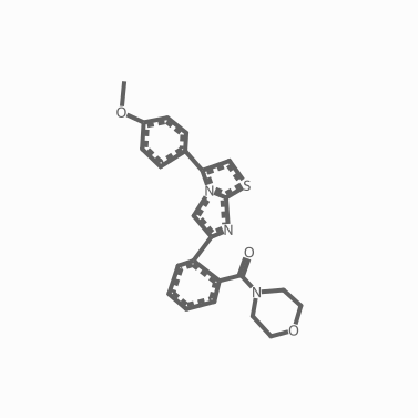 COc1ccc(-c2csc3nc(-c4ccccc4C(=O)N4CCOCC4)cn23)cc1